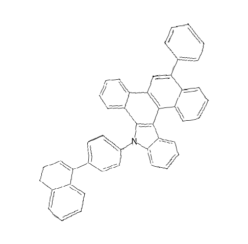 C1=C(c2ccc(-n3c4ccccc4c4c5c6ccccc6c(-c6ccccc6)cc5c5ccccc5c43)cc2)c2ccccc2CC1